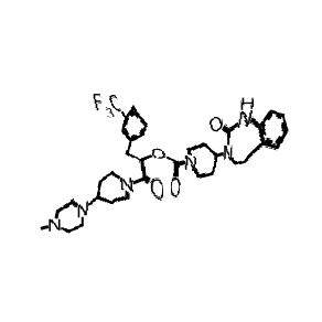 CN1CCN(C2CCN(C(=O)[C@@H](Cc3cccc(C(F)(F)F)c3)OC(=O)N3CCC(N4CCc5ccccc5NC4=O)CC3)CC2)CC1